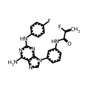 C=C(F)C(=O)Nc1cccc(-n2cnc3c(N)nc(Nc4ccc(F)cc4)nc32)c1